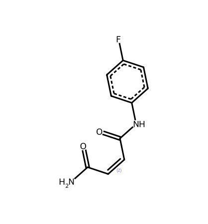 NC(=O)/C=C\C(=O)Nc1ccc(F)cc1